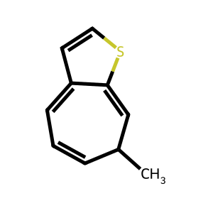 CC1C=CC=c2ccsc2=C1